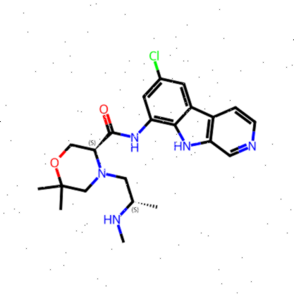 CN[C@@H](C)CN1CC(C)(C)OC[C@H]1C(=O)Nc1cc(Cl)cc2c1[nH]c1cnccc12